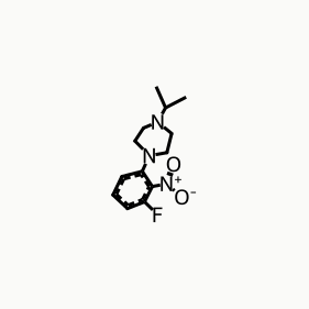 CC(C)N1CCN(c2cccc(F)c2[N+](=O)[O-])CC1